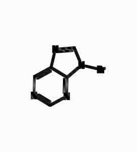 Brn1cnc2cncnc21